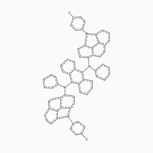 Fc1ccc(-n2c3cccc4ccc5c(N(c6ccccc6)c6c7ccccc7c(N(c7ccccc7)c7ccc8c9c7ccc7cccc(c79)n8-c7ccc(F)cc7)c7ccccc67)ccc2c5c43)cc1